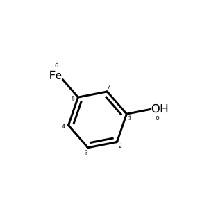 Oc1ccc[c]([Fe])c1